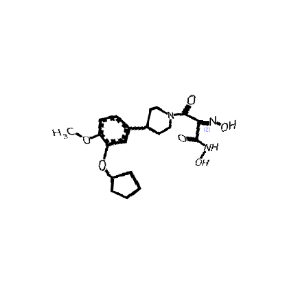 COc1ccc(C2CCN(C(=O)/C(=N/O)C(=O)NO)CC2)cc1OC1CCCC1